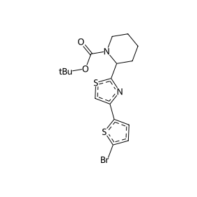 CC(C)(C)OC(=O)N1CCCCC1c1nc(-c2ccc(Br)s2)cs1